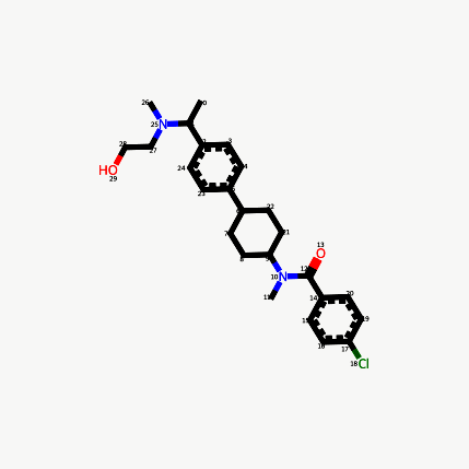 CC(c1ccc(C2CCC(N(C)C(=O)c3ccc(Cl)cc3)CC2)cc1)N(C)CCO